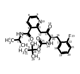 CC(C)NC(=O)c1cccnc1CC(=O)[C@@H](Cc1ccccc1F)NC(=O)OC(C)(C)C